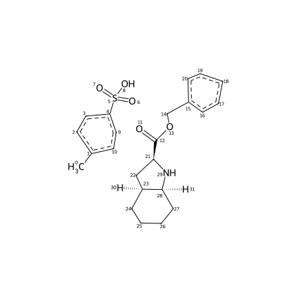 Cc1ccc(S(=O)(=O)O)cc1.O=C(OCc1ccccc1)[C@@H]1C[C@@H]2CCCC[C@@H]2N1